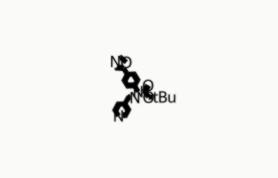 CC(C)(C)OC(=O)N(N=Cc1ccncc1)c1ccc(-c2cnco2)cc1